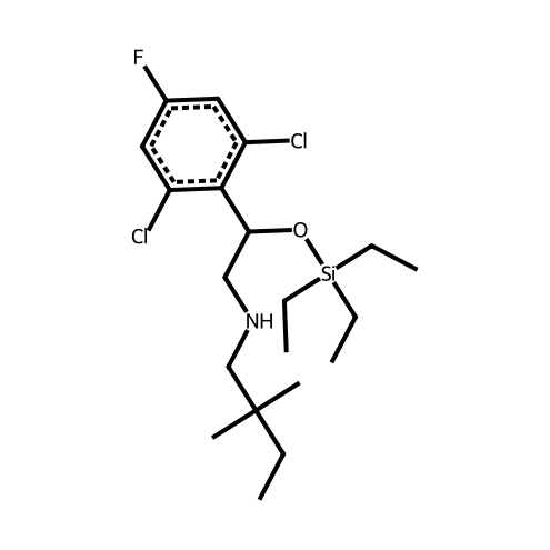 CCC(C)(C)CNCC(O[Si](CC)(CC)CC)c1c(Cl)cc(F)cc1Cl